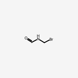 O=[C]NCBr